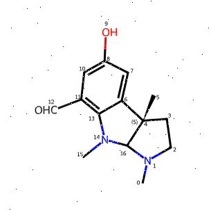 CN1CC[C@@]2(C)c3cc(O)cc(C=O)c3N(C)C12